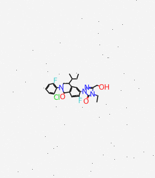 CCC(C)C1CN(c2c(F)cccc2Cl)C(=O)c2cc(F)c(-n3nc(CO)n(CC)c3=O)cc21